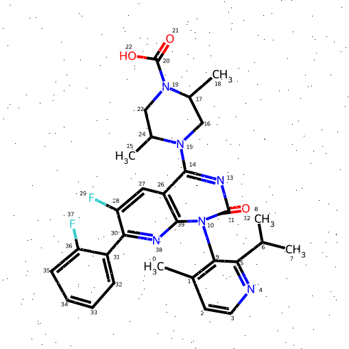 Cc1ccnc(C(C)C)c1-n1c(=O)nc(N2CC(C)N(C(=O)O)CC2C)c2cc(F)c(-c3ccccc3F)nc21